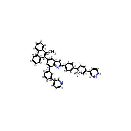 C=C(/C=C\C(=C/C)c1c#ccnc1)c1ccc(C2=Nc3c(cc(-c4c(C)c5ccccc5c5ccccc45)cc3-c3cccc(-c4cccnc4)c3)C2)cc1